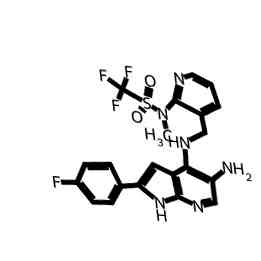 CN(c1ncccc1CNc1c(N)cnc2[nH]c(-c3ccc(F)cc3)cc12)S(=O)(=O)C(F)(F)F